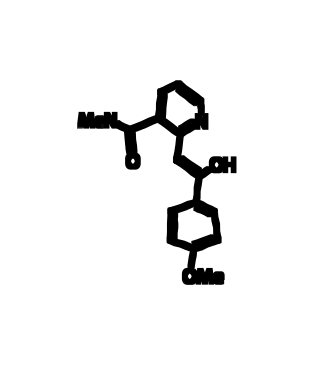 CNC(=O)c1cccnc1C=C(O)c1ccc(OC)cc1